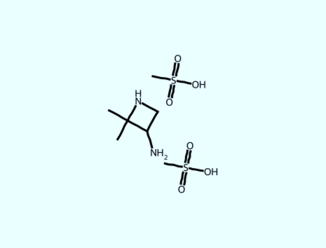 CC1(C)NCC1N.CS(=O)(=O)O.CS(=O)(=O)O